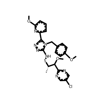 COc1ccc(Cn2c(NS[C@@H](C)C(OC)c3ncc(Cl)cn3)nnc2-c2cccc(OC)n2)cc1